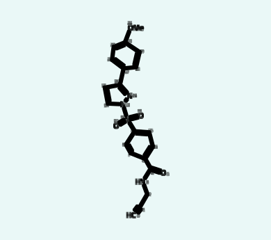 C#CCNC(=O)c1ccc(S(=O)(=O)n2ccc(-c3ccc(OC)cc3)n2)cc1